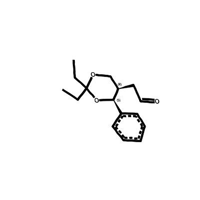 CCC1(CC)OC[C@@H](CC=O)[C@@H](c2ccccc2)O1